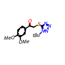 COc1ccc(C(=O)CSc2nnnn2C(C)(C)C)cc1OC